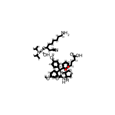 CC(C)N(C(C)C)P(O)OC(CC#N)CCCCCCN.COc1ccc(C(c2ccccc2)(c2ccc(OC)cc2)N2C(=O)N[C@H]3CS[C@@H](CCCCC(=O)O)[C@H]32)cc1